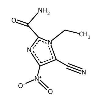 CCn1c(C(N)=O)nc([N+](=O)[O-])c1C#N